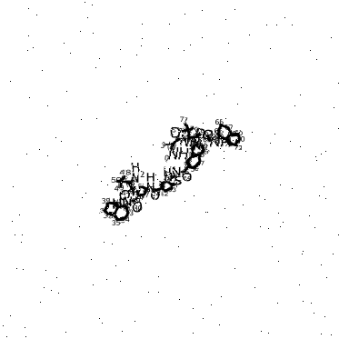 CN[C@@H](C)C(=O)N[C@H](C(=O)N1Cc2cc(C(=O)Nc3nc4cc(C(=O)N[C@H]5C[C@@H](C(=O)N[C@@H]6CCCc7ccccc76)N(C(=O)[C@@H](N)C(C)(C)C)C5)ccc4s3)ccc2C[C@H]1C(=O)N[C@@H]1CCCc2ccccc21)C(C)(C)C